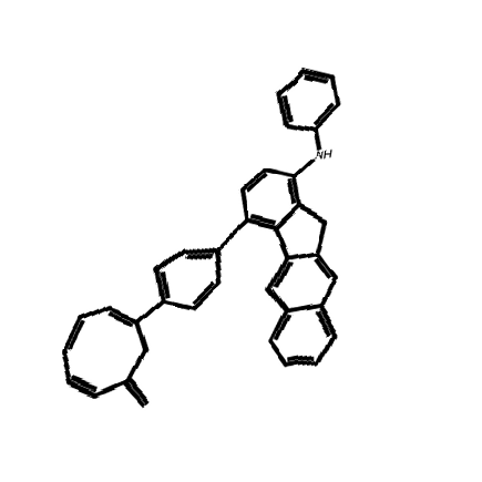 C=C1\C=C/C=C\C=C(\c2ccc(-c3ccc(Nc4ccccc4)c4c3-c3cc5ccccc5cc3C4)cc2)C1